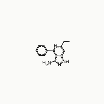 CCc1cc2[nH]nc(N)c2c(-c2ccccc2)n1